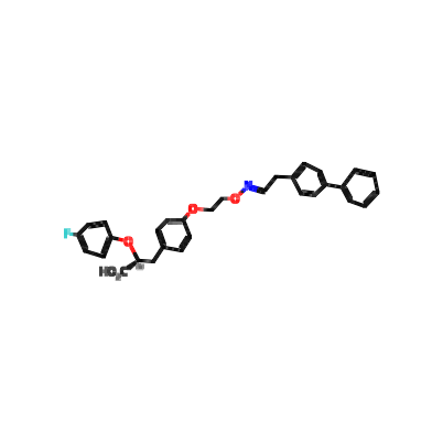 O=C(O)[C@H](Cc1ccc(OCCON=CCc2ccc(-c3ccccc3)cc2)cc1)Oc1ccc(F)cc1